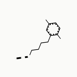 [N-]=[N+]=NCCCCc1cc(F)ccc1F